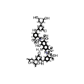 CC(O)CN(CC(C)O)c1nc(Cl)nc(Nc2ccc(S(=O)(=O)O)c(/N=N/c3c(S(C)(=O)=O)cc4cc(S(=O)(=O)O)c(/N=N/c5cc(Nc6nc(Cl)nc(N(CCO)CCO)n6)ccc5S(=O)(=O)O)c(O)c4c3N)c2)n1